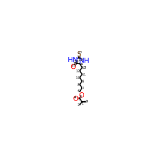 C=C(C)C(=O)OCCCCCCCCC1NC(=S)NC1=O